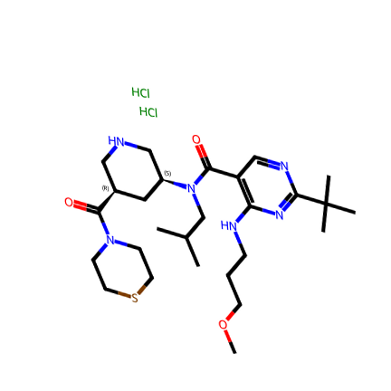 COCCCNc1nc(C(C)(C)C)ncc1C(=O)N(CC(C)C)[C@@H]1CNC[C@H](C(=O)N2CCSCC2)C1.Cl.Cl